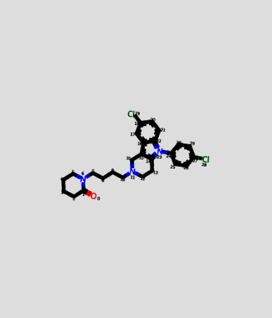 O=C1CCCCN1CCCCN1CCc2c(c3cc(Cl)ccc3n2-c2ccc(Cl)cc2)C1